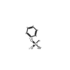 CS(=O)(=O)Br.c1ccccc1